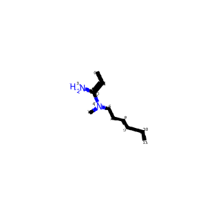 C/C=C(\N)N(C)CCCCCC